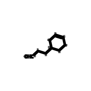 O=[C]CCC1CC=CCC1